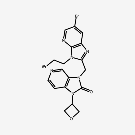 CC(C)CCn1c(Cn2c(=O)n(C3COC3)c3ccncc32)nc2cc(Br)cnc21